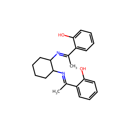 C/C(=N\C1CCCCC1/N=C(\C)c1ccccc1O)c1ccccc1O